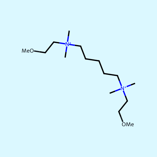 COCC[N+](C)(C)CCCCC[N+](C)(C)CCOC